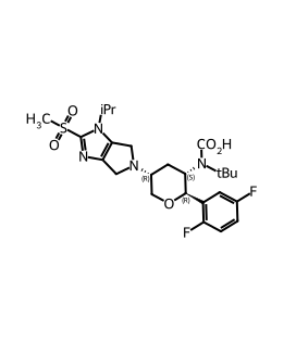 CC(C)n1c(S(C)(=O)=O)nc2c1CN([C@H]1CO[C@H](c3cc(F)ccc3F)[C@@H](N(C(=O)O)C(C)(C)C)C1)C2